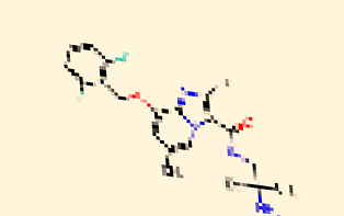 CCCc1nc2c(OCc3c(F)cccc3F)cc(C)cn2c1C(=O)NCC(C)(N)CC